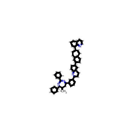 C=C1CC(c2cccc(-c3ccc4cc(-c5ccc6c(c5)CC=C(c5cccc7cccnc57)C=C6)ccc4n3)c2)=NC(c2ccccc2)=NC1c1ccccc1